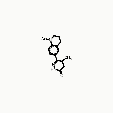 CC(=O)N1CCCc2cc(C3=NNC(=O)CC3C)ccc21